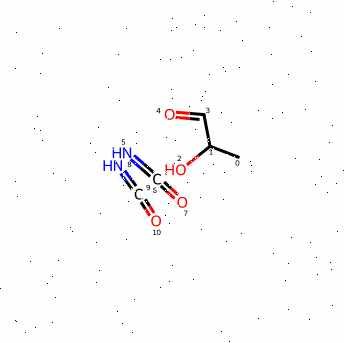 CC(O)C=O.N=C=O.N=C=O